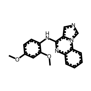 COc1ccc(Nc2nc3ccccc3n3cncc23)c(OC)c1